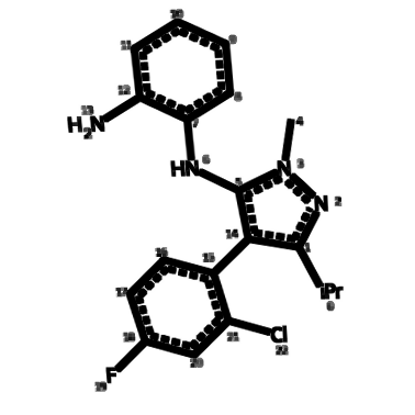 CC(C)c1nn(C)c(Nc2ccccc2N)c1-c1ccc(F)cc1Cl